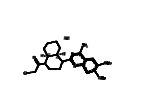 COc1cc2nc(N3CCN(C(=O)CCl)[C@H]4CCCC[C@H]43)nc(N)c2cc1OC.Cl